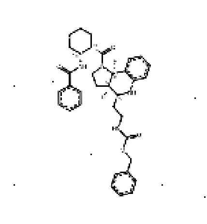 O=C(NCC[C@@H]1Nc2ccccc2[C@H]2[C@@H]1CCN2C(=O)[C@H]1CCCC[C@H]1NC(=O)c1ccccc1)OCc1ccccc1